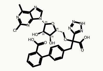 Cc1nc(Cl)nc2c1ncn2[C@@H]1O[C@H](COC(Cc2ccc(-c3ccccc3C(=O)O)cc2)(C(=O)O)c2nn[nH]n2)[C@@H](O)[C@H]1O